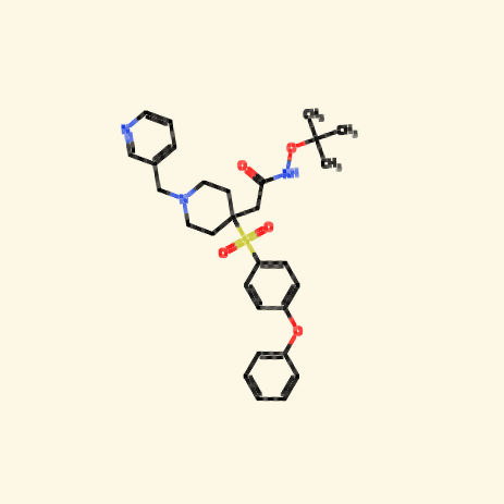 CC(C)(C)ONC(=O)CC1(S(=O)(=O)c2ccc(Oc3ccccc3)cc2)CCN(Cc2cccnc2)CC1